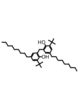 CCCCCCCCCc1cc(Cc2cc(CCCCCCCCC)cc(C(C)(C)C)c2O)c(O)c(C(C)(C)C)c1